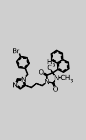 CN1C(=O)N(CCCc2cncn2Cc2ccc(Br)cc2)C(=O)C1(C)c1cccc2ccccc12